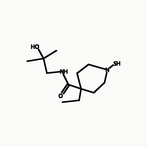 CCC1(C(=O)NCC(C)(C)O)CCN(S)CC1